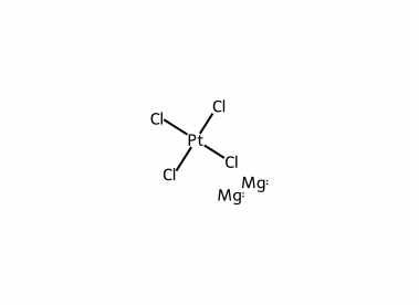 [Cl][Pt]([Cl])([Cl])[Cl].[Mg].[Mg]